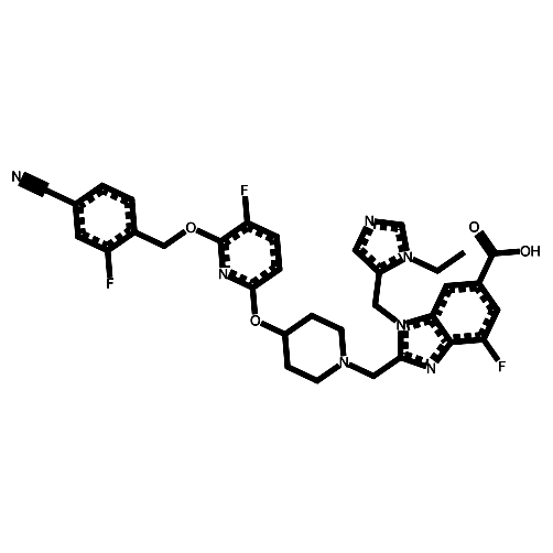 CCn1cncc1Cn1c(CN2CCC(Oc3ccc(F)c(OCc4ccc(C#N)cc4F)n3)CC2)nc2c(F)cc(C(=O)O)cc21